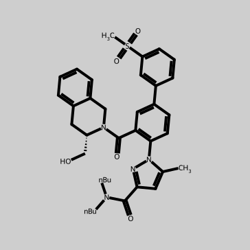 CCCCN(CCCC)C(=O)c1cc(C)n(-c2ccc(-c3cccc(S(C)(=O)=O)c3)cc2C(=O)N2Cc3ccccc3C[C@H]2CO)n1